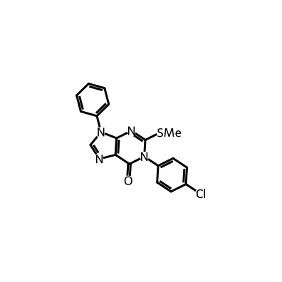 CSc1nc2c(ncn2-c2ccccc2)c(=O)n1-c1ccc(Cl)cc1